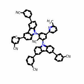 Cc1cccc(-c2cc(-n3c4ccc(-c5cccc(C#N)c5)cc4c4cc(-c5cccc(C#N)c5)ccc43)c(C#N)c(-n3c4ccc(-c5cccc(C#N)c5)cc4c4cc(-c5cccc(C#N)c5)ccc43)c2)n1